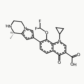 C[C@@H]1NCCn2cc(-c3ccc4c(=O)c(C(=O)O)cn(C5CC5)c4c3OC(F)F)cc21